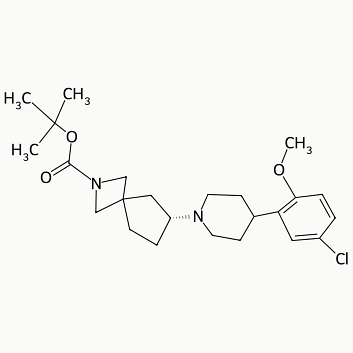 COc1ccc(Cl)cc1C1CCN([C@@H]2CCC3(C2)CN(C(=O)OC(C)(C)C)C3)CC1